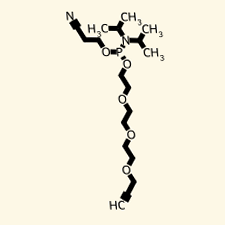 C#CCOCCOCCOCCOP(OCCC#N)N(C(C)C)C(C)C